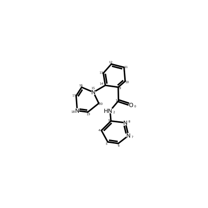 O=C(Nc1cccnn1)c1ccccc1N1C=CN=CC1